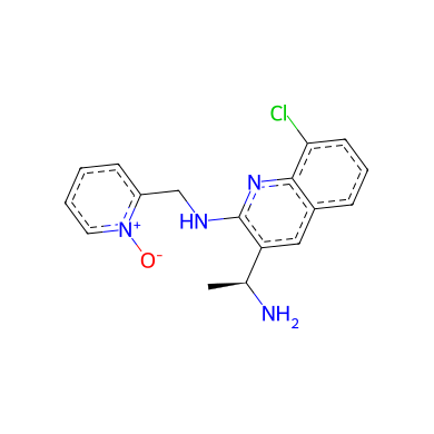 C[C@H](N)c1cc2cccc(Cl)c2nc1NCc1cccc[n+]1[O-]